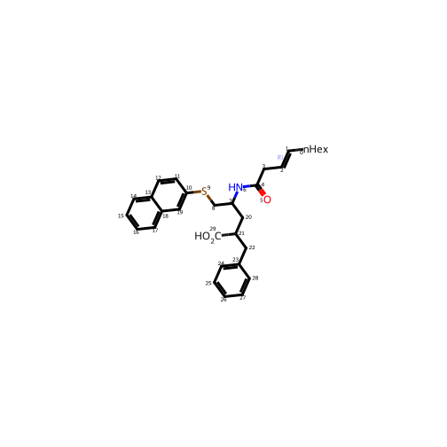 CCCCCC/C=C/CC(=O)NC(CSc1ccc2ccccc2c1)CC(Cc1ccccc1)C(=O)O